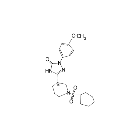 COc1ccc(-n2nc([C@H]3CCCN(S(=O)(=O)C4CCCCC4)C3)[nH]c2=O)cc1